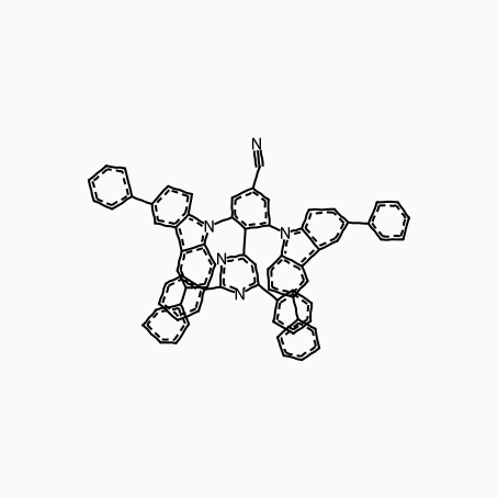 N#Cc1cc(-n2c3ccc(-c4ccccc4)cc3c3cc(-c4ccccc4)ccc32)c(-c2cc(-c3ccccc3)nc(-c3ccccc3)n2)c(-n2c3ccc(-c4ccccc4)cc3c3cc(-c4ccccc4)ccc32)c1